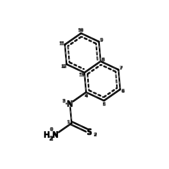 NC(=S)[N]c1cccc2ccccc12